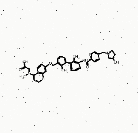 Cc1c(COc2ccc3c(c2)OCCC3N(C)CC(=O)O)cccc1-c1cccc(NC(=O)c2ccc(CN3CCC(O)C3)cn2)c1C